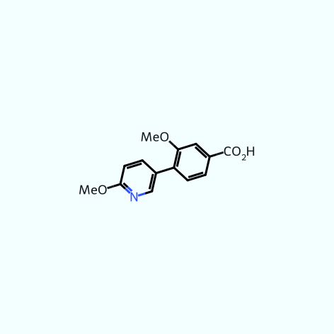 COc1ccc(-c2ccc(C(=O)O)cc2OC)cn1